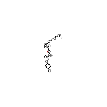 O=C(COc1ccc(Cl)cc1)NC12CC(c3nnc(OCCOCC(F)(F)F)o3)(C1)C2